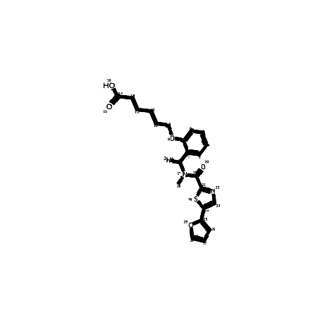 [2H]C(c1ccccc1OCCCCCC(=O)O)N(C)C(=O)c1ncc(-c2ccco2)s1